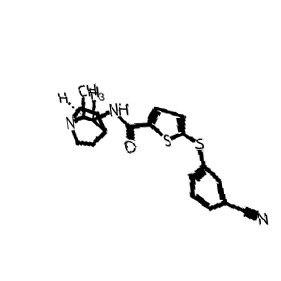 C[C@H]1[C@H](NC(=O)c2ccc(Sc3cccc(C#N)c3)s2)C2CCN1CC2